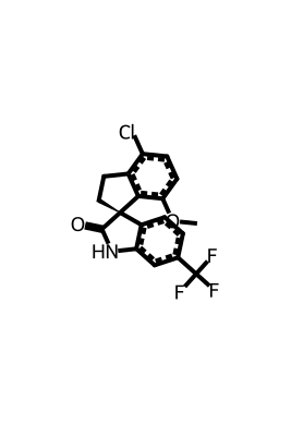 COc1ccc(Cl)c2c1[C@@]1(CC2)C(=O)Nc2cc(C(F)(F)F)ccc21